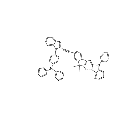 CC1(C)c2cc(C#Cc3nc4ccccc4n3-c3ccc(N(c4ccccc4)c4ccccc4)cc3)ccc2-c2cc3c(cc21)c1ccccc1n3-c1ccccc1